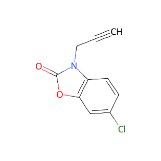 C#CCn1c(=O)oc2cc(Cl)ccc21